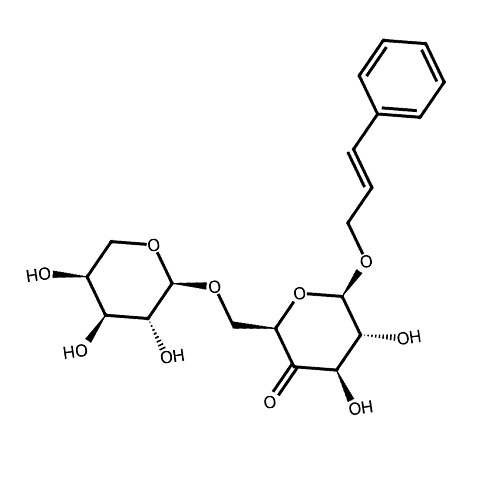 O=C1[C@@H](CO[C@@H]2OC[C@H](O)[C@H](O)[C@H]2O)O[C@@H](OC/C=C/c2ccccc2)[C@H](O)[C@H]1O